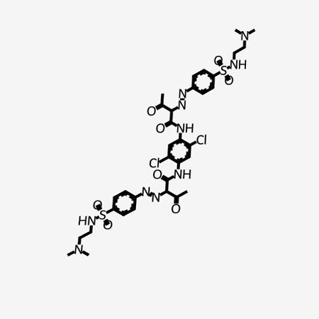 CC(=O)C(N=Nc1ccc(S(=O)(=O)NCCN(C)C)cc1)C(=O)Nc1cc(Cl)c(NC(=O)C(N=Nc2ccc(S(=O)(=O)NCCN(C)C)cc2)C(C)=O)cc1Cl